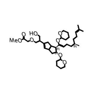 COC(=O)COCC(CO)C1=CC2C[C@@H](OC3CCCCO3)[C@H](C(=CCC[C@H](C)CCC=C(C)C)OC3CCCCO3)C2C1